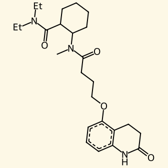 CCN(CC)C(=O)C1CCCCC1N(C)C(=O)CCCOc1cccc2c1CCC(=O)N2